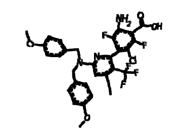 COc1ccc(CN(Cc2ccc(OC)cc2)c2cc(C)c(C(F)(F)F)c(-c3c(F)c(N)c(C(=O)O)c(F)c3Cl)n2)cc1